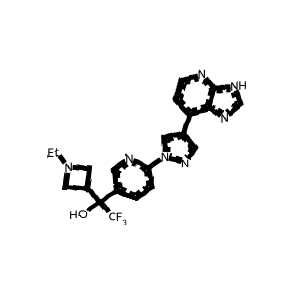 CCN1CC(C(O)(c2ccc(-n3cc(-c4ccnc5[nH]cnc45)cn3)nc2)C(F)(F)F)C1